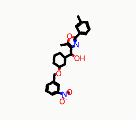 Cc1cccc(-c2nc(C(O)C3CCCC(OCc4cccc([N+](=O)[O-])c4)C3)c(C)o2)c1